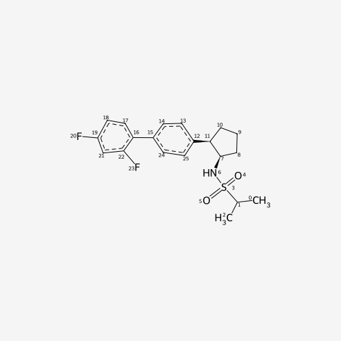 CC(C)S(=O)(=O)N[C@@H]1CCC[C@@H]1c1ccc(-c2ccc(F)cc2F)cc1